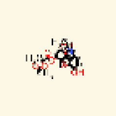 CC(=O)O[C@@H](C)C(=O)OC1=CC[C@@]2(O)[C@H]3Cc4ccc(O)c5c4[C@@]2(CCN3C)[C@H]1O5